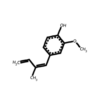 C=CC(C)=Cc1ccc(O)c(OC)c1